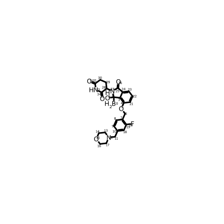 BC1(O)c2c(OCc3ccc(CN4CCOCC4)cc3F)cccc2C(=O)N1C1CCC(=O)NC1=O